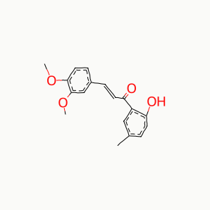 COc1ccc(/C=C/C(=O)c2cc(C)ccc2O)cc1OC